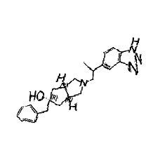 CC(CN1C[C@@H]2C[C@@](O)(Cc3ccccc3)C[C@@H]2C1)c1ccc2[nH]nnc2c1